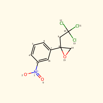 O=[N+]([O-])c1cccc(C2(CC(Cl)(Cl)Cl)CO2)c1